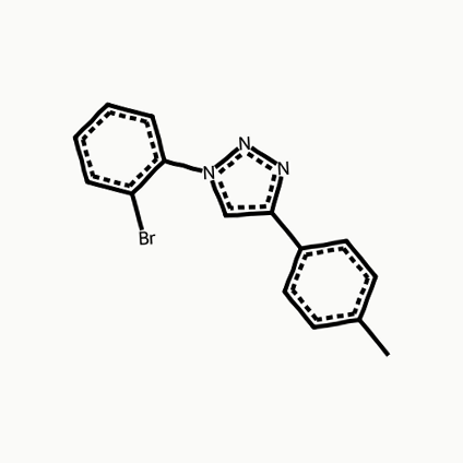 Cc1ccc(-c2cn(-c3ccccc3Br)nn2)cc1